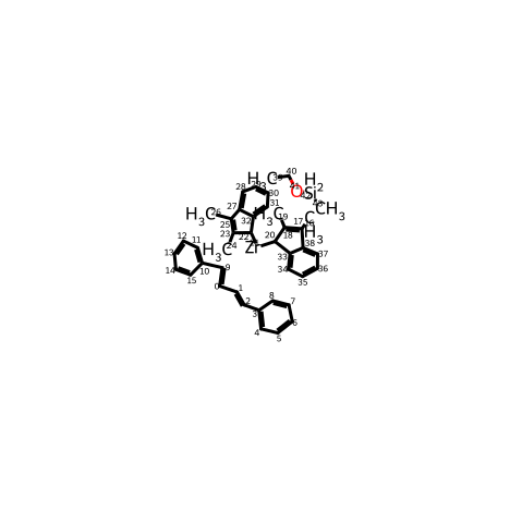 C(C=Cc1ccccc1)=Cc1ccccc1.CC1=C(C)[CH]([Zr][CH]2C(C)=C(C)c3ccccc32)c2ccccc21.CCO[SiH2]C